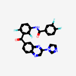 O=C(Nc1ccc(F)c(C(=O)c2ccc3ncc(-n4ccnc4)nc3c2)c1F)c1ccc(F)c(F)c1